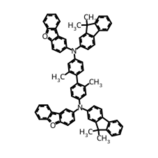 Cc1cc(N(c2ccc3c(c2)C(C)(C)c2ccccc2-3)c2ccc3oc4ccccc4c3c2)ccc1-c1ccc(N(c2ccc3c(c2)C(C)(C)c2ccccc2-3)c2ccc3oc4ccccc4c3c2)cc1C